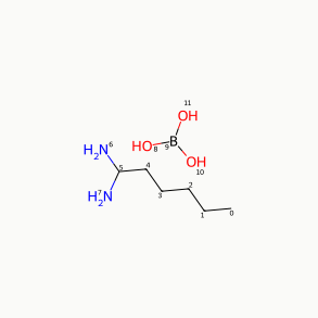 CCCCCC(N)N.OB(O)O